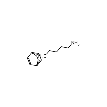 CCCCCN.c1cc2ccc1CC2